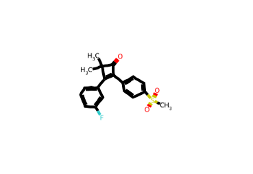 CC1(C)C(=O)C(c2ccc(S(C)(=O)=O)cc2)=C1c1cccc(F)c1